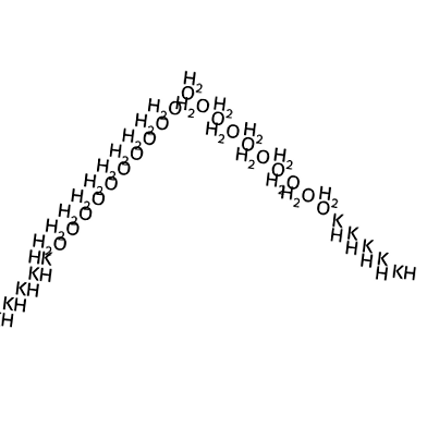 O.O.O.O.O.O.O.O.O.O.O.O.O.O.O.O.O.O.O.O.[KH].[KH].[KH].[KH].[KH].[KH].[KH].[KH].[KH].[KH]